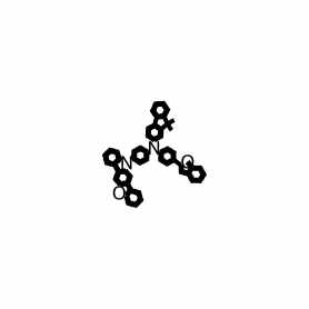 CC1(C)c2ccccc2-c2ccc(N(c3ccc(-c4cc5ccccc5o4)cc3)c3ccc(-n4c5ccccc5c5cc6oc7ccccc7c6cc54)cc3)cc21